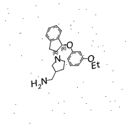 CCOc1cccc(O[C@@H]2c3ccccc3C[C@H]2N2CCC(CN)C2)c1